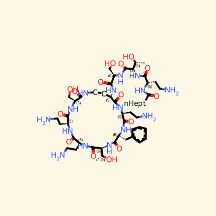 CCCCCCCC(=O)N[C@@H](CCN)C(=O)N[C@H](C(=O)N[C@H](CO)C(=O)N[C@H]1CCNC(=O)[C@H](CO)NC(=O)[C@H](CCN)NC(=O)[C@H](CCN)NC(=O)[C@H]([C@@H](C)O)NC(=O)[C@@H](Cc2ccccc2)NC(=O)[C@H](CCN)NC1=O)[C@@H](C)O